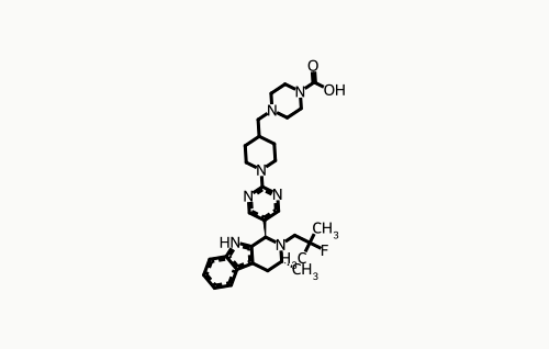 C[C@@H]1Cc2c([nH]c3ccccc23)[C@@H](c2cnc(N3CCC(CN4CCN(C(=O)O)CC4)CC3)nc2)N1CC(C)(C)F